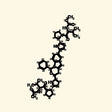 COC(=O)N[C@H](C(=O)N1CCC[C@H]1c1ncc(-c2ccc3c(c2)cc2n3[C@H](c3ccccc3)OC(C3CN=C([C@@H]4CCCN4C(=O)[C@@H](NC(C)=O)C(C)C)N3)C2)[nH]1)C(C)C